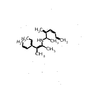 C=C/C=C\C(=C)C(C)N/C(C)=C(/C)C(=CC)/C=C\C